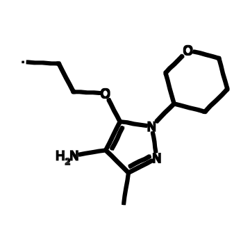 [CH2]CCOc1c(N)c(C)nn1C1CCCOC1